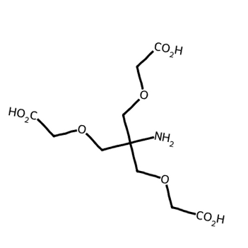 NC(COCC(=O)O)(COCC(=O)O)COCC(=O)O